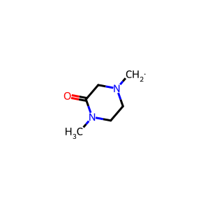 [CH2]N1CCN(C)C(=O)C1